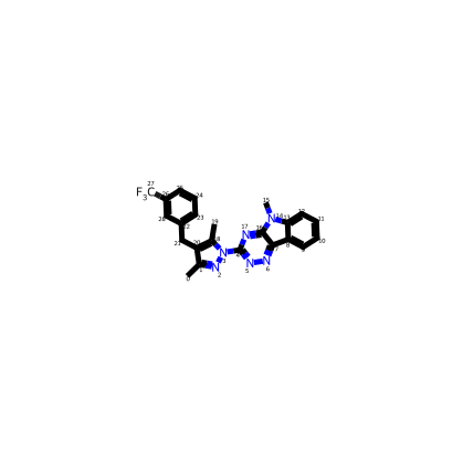 Cc1nn(-c2nnc3c4ccccc4n(C)c3n2)c(C)c1Cc1cccc(C(F)(F)F)c1